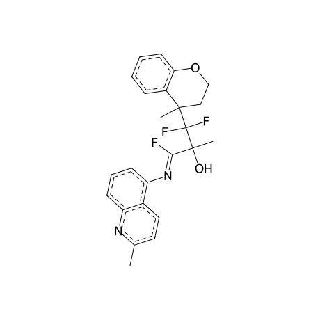 Cc1ccc2c(N=C(F)C(C)(O)C(F)(F)C3(C)CCOc4ccccc43)cccc2n1